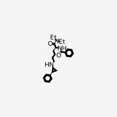 CCN(CC)C(=O)[C@H](CCCCNC1C[C@H]1c1ccccc1)NC(=O)c1ccccc1